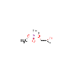 COP(C)(=O)OCC1CO1